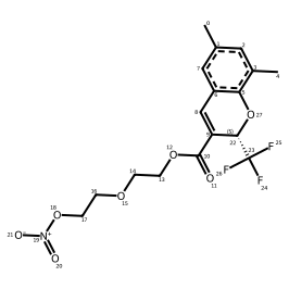 Cc1cc(C)c2c(c1)C=C(C(=O)OCCOCCO[N+](=O)[O-])[C@@H](C(F)(F)F)O2